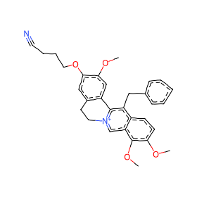 COc1cc2c(cc1OCCCC#N)CC[n+]1cc3c(OC)c(OC)ccc3c(Cc3ccccc3)c1-2